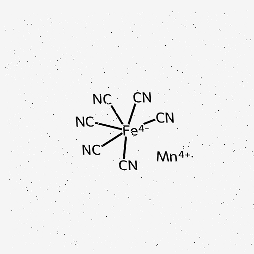 N#[C][Fe-4]([C]#N)([C]#N)([C]#N)([C]#N)[C]#N.[Mn+4]